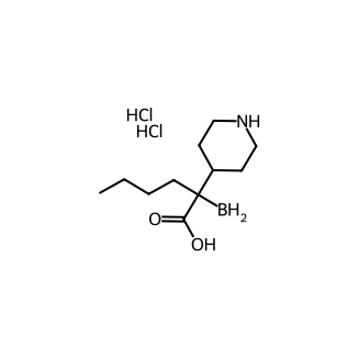 BC(CCCC)(C(=O)O)C1CCNCC1.Cl.Cl